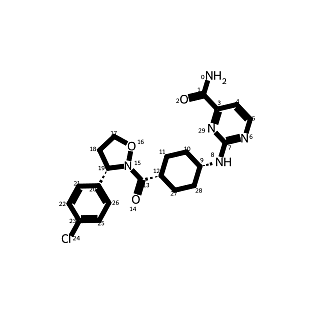 NC(=O)c1ccnc(N[C@H]2CC[C@@H](C(=O)N3OCC[C@H]3c3ccc(Cl)cc3)CC2)n1